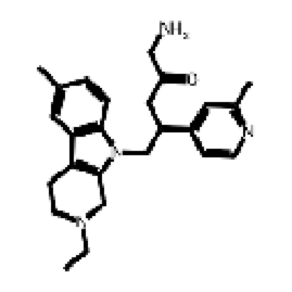 CCN1CCc2c(n(CC(CC(=O)CN)c3ccnc(C)c3)c3ccc(C)cc23)C1